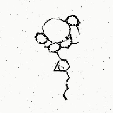 C=CCOCN1CCN(c2nc(=O)n3c4nc(c(Cl)cc24)-c2c(F)cccc2NCCOc2ccnc(C(C)C)c2-3)[C@@H]2C[C@@H]21